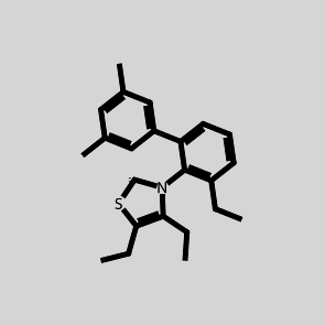 CCC1=C(CC)N(c2c(CC)cccc2-c2cc(C)cc(C)c2)[C]S1